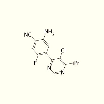 CC(C)c1ncnc(-c2cc(N)c(C#N)cc2F)c1Cl